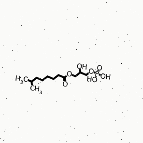 CC(C)CCCCCC(=O)OCC(O)COP(=O)(O)O